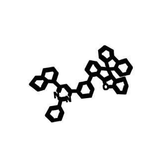 c1ccc(-c2nc(-c3cccc(-c4cccc5c4-c4oc6ccccc6c4C54c5ccccc5-c5ccccc54)c3)cc(-c3cccc4ccccc34)n2)cc1